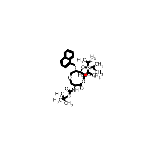 CC(C)[Si](O[C@@H]1[C@@H](Cc2cccc3ccccc23)COC[C@H](NC(=O)OC(C)(C)C)C(=O)O[C@H]1C)(C(C)C)C(C)C